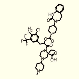 CCC1(C(=O)O)CN(C2CCN(C)CC2)CCN1C(=O)C(Cc1cc(Cl)c(N)c(C(F)(F)F)c1)OC(=O)N1CCC(N2CCc3ccccc3NC2=O)CC1